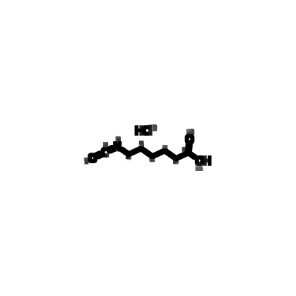 Cl.O=C=NCCCCCC(=O)O